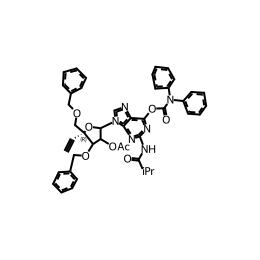 C#C[C@]1(COCc2ccccc2)OC(n2cnc3c(OC(=O)N(c4ccccc4)c4ccccc4)nc(NC(=O)C(C)C)nc32)C(OC(C)=O)C1OCc1ccccc1